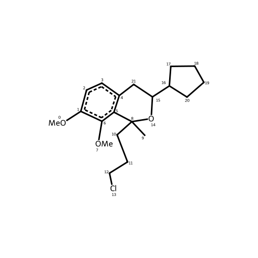 COc1ccc2c(c1OC)C(C)(CCCCl)OC(C1CCCC1)C2